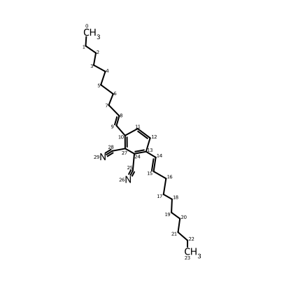 CCCCCCCCC=Cc1ccc(C=CCCCCCCCC)c(C#N)c1C#N